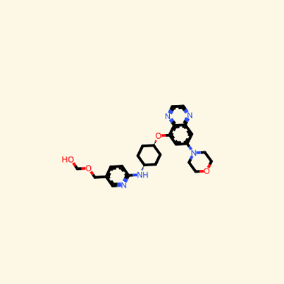 OCOCc1ccc(N[C@H]2CC[C@@H](Oc3cc(N4CCOCC4)cc4nccnc34)CC2)nc1